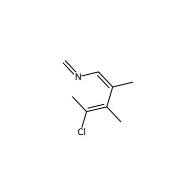 C=N/C=C(C)\C(C)=C(/C)Cl